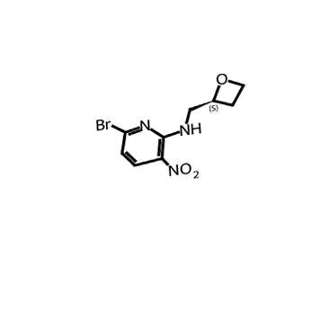 O=[N+]([O-])c1ccc(Br)nc1NC[C@@H]1CCO1